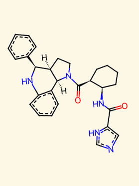 O=C(N[C@@H]1CCCC[C@@H]1C(=O)N1CC[C@@H]2[C@H](c3ccccc3)Nc3ccccc3[C@@H]21)c1cnc[nH]1